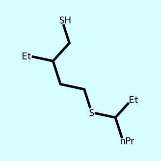 CCCC(CC)SCCC(CC)CS